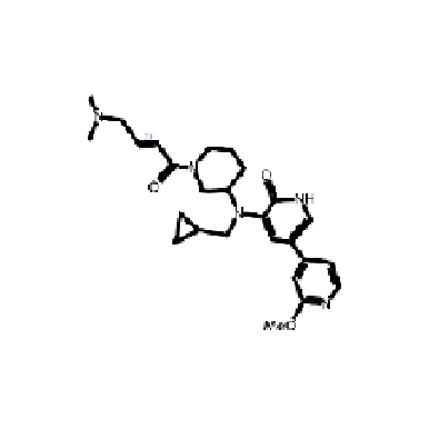 COc1cc(-c2c[nH]c(=O)c(N(CC3CC3)C3CCCN(C(=O)/C=C/CN(C)C)C3)c2)ccn1